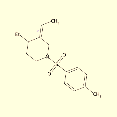 C/C=C1\CN(S(=O)(=O)c2ccc(C)cc2)CCC1CC